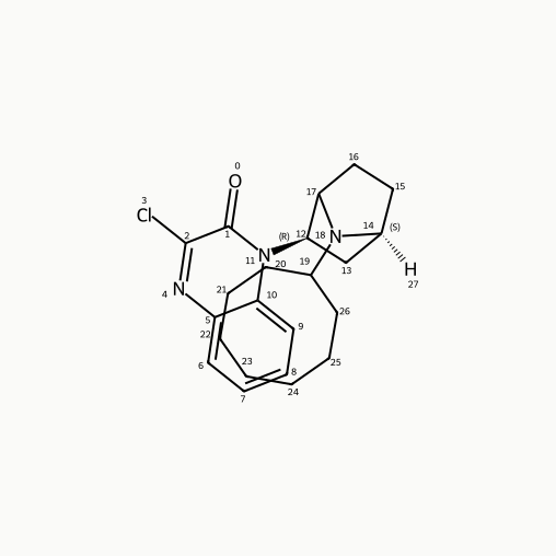 O=c1c(Cl)nc2ccccc2n1[C@@H]1C[C@@H]2CCC1N2C1CCCCCCC1